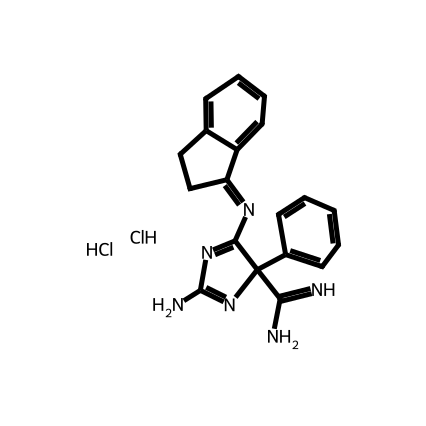 Cl.Cl.N=C(N)C1(c2ccccc2)N=C(N)N=C1N=C1CCc2ccccc21